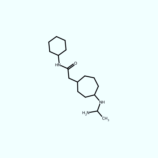 CC(N)NC1CCCC(CC(=O)NC2CCCCC2)CC1